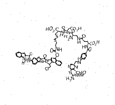 CN/C(N)=N\c1ncc(CNc2ccc(C(=O)NC(CCC(=O)NCC(N)C(=O)NC(CC(=O)O)C(=O)NC(CSSCCNC(=O)Oc3cc4c(c5ccccc35)C(CCl)CN4C(=O)c3cc4cc(NC(=O)c5cc6ccccc6[nH]5)ccc4[nH]3)C(=O)O)C(=O)O)cc2)nc1C=O